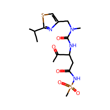 CC(=O)C(CC(=O)NS(C)(=O)=O)NC(=O)N(C)Cc1csc(C(C)C)n1